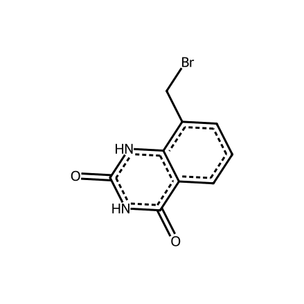 O=c1[nH]c(=O)c2cccc(CBr)c2[nH]1